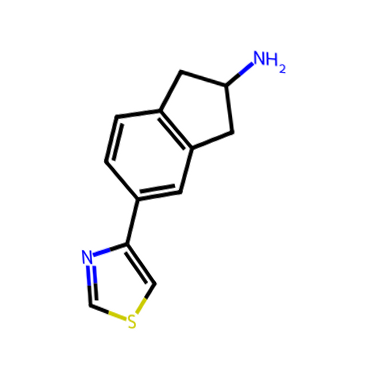 NC1Cc2ccc(-c3cscn3)cc2C1